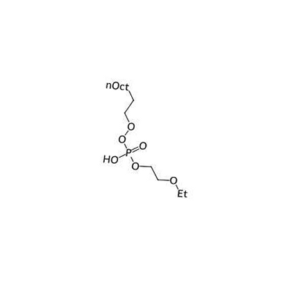 CCCCCCCCCCOOP(=O)(O)OCCOCC